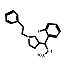 O=C(O)NC(c1ccccc1F)C1CCN(CCc2ccccc2)C1